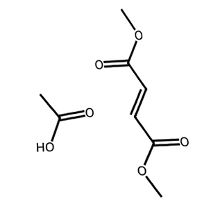 CC(=O)O.COC(=O)C=CC(=O)OC